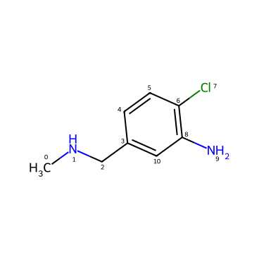 CNCc1ccc(Cl)c(N)c1